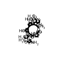 CCn1c(-c2cccnc2[C@H](C)OC)c2c3cc(ccc31)-c1cc(O)cc(c1)C[C@H](NC(=O)[C@H](C(C)C)N1C[C@@H](N)CC1=O)C(=O)N1CCC[C@H](N1)C(=O)OCC(C)(C)C2